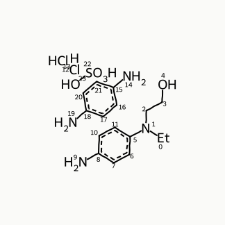 CCN(CCO)c1ccc(N)cc1.Cl.Cl.Nc1ccc(N)cc1.O=S(=O)(O)O